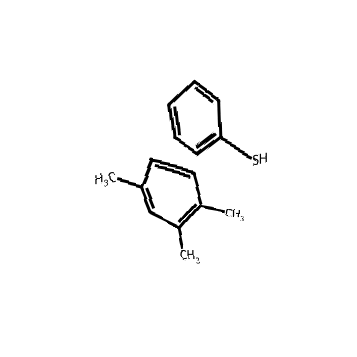 Cc1ccc(C)c(C)c1.Sc1ccccc1